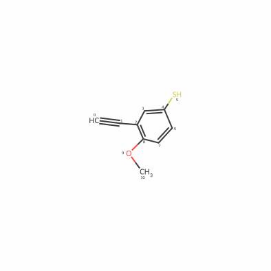 C#Cc1cc(S)ccc1OC